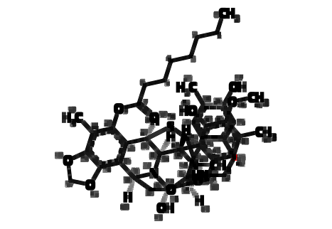 CCCCCCCC(=O)Oc1c(C)c2c(c3c1[C@H]1SC[C@]4(NCCc5cc(O)c(C)cc54)C(=O)OC[C@@H]3N3[C@@H]1[C@@H]1c4c(cc(C)c(OC)c4O)C[C@@H]([C@@H]3O)N1C)OCO2